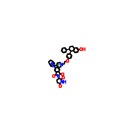 O=C1CCC(N2C(=O)c3cc(F)c(N4CC5CCC(C4)N5CC4CCN(CCOc5ccc([C@@H]6c7ccc(O)cc7CC[C@@H]6c6ccccc6)cc5)CC4)cc3C2=O)C(=O)N1